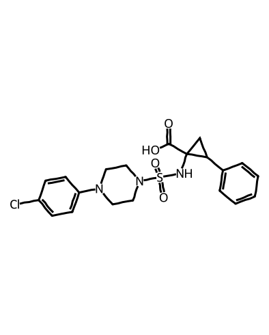 O=C(O)C1(NS(=O)(=O)N2CCN(c3ccc(Cl)cc3)CC2)CC1c1ccccc1